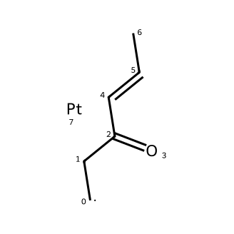 [CH2]CC(=O)C=CC.[Pt]